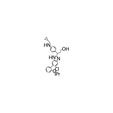 CC(C)Oc1ccccc1-c1cc2[nH]c(C(CCO)c3ccc(NCC4CC4)cc3)nc2cc1Cl